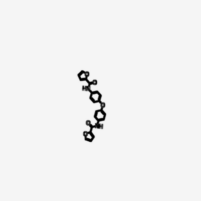 O=C(Nc1ccc(Oc2ccc(NC(=O)c3ccco3)cc2)cc1)c1ccco1